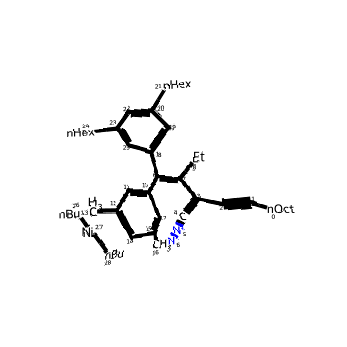 CCCCCCCCC#CC(=C=[N+]=[N-])C(CC)=C(c1cc(C)cc(C)c1)c1cc(CCCCCC)cc(CCCCCC)c1.CCC[CH2][Ni][CH2]CCC